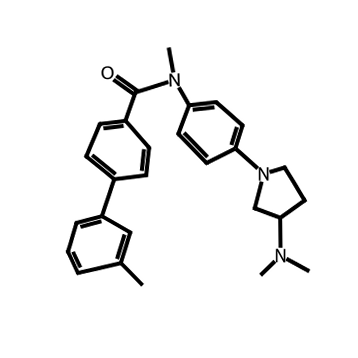 Cc1cccc(-c2ccc(C(=O)N(C)c3ccc(N4CCC(N(C)C)C4)cc3)cc2)c1